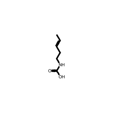 CC=CCCNC(=O)O